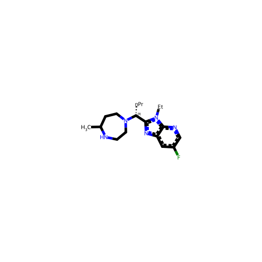 CCC[C@H](c1nc2cc(F)cnc2n1CC)N1CCNC(C)CC1